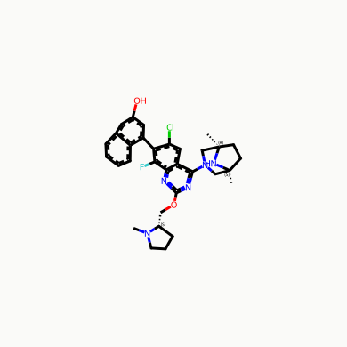 CN1CCC[C@H]1COc1nc(N2C[C@]3(C)CC[C@](C)(C2)N3)c2cc(Cl)c(-c3cc(O)cc4ccccc34)c(F)c2n1